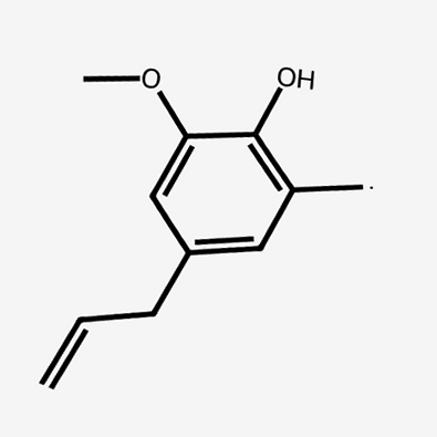 [CH2]c1cc(CC=C)cc(OC)c1O